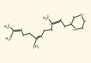 CC(C)=CCCC(C)=CCCC(C)=CCC1CSCCS1